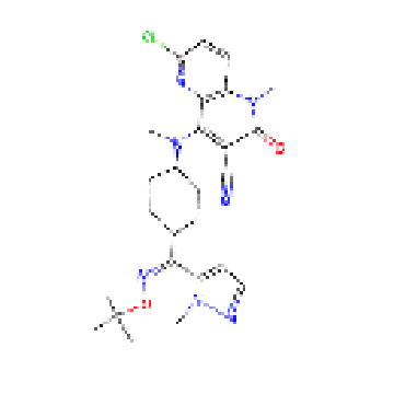 Cn1nccc1/C(=N\OC(C)(C)C)[C@H]1CC[C@H](N(C)c2c(C#N)c(=O)n(C)c3ccc(Cl)nc23)CC1